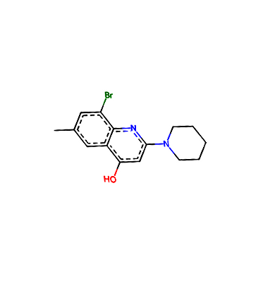 Cc1cc(Br)c2nc(N3CCCCC3)cc(O)c2c1